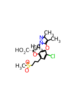 Cc1nn(C)c(Oc2cc(O[C@@H](C)C(=O)O)c(CCCS(C)(=O)=O)cc2Cl)c1C